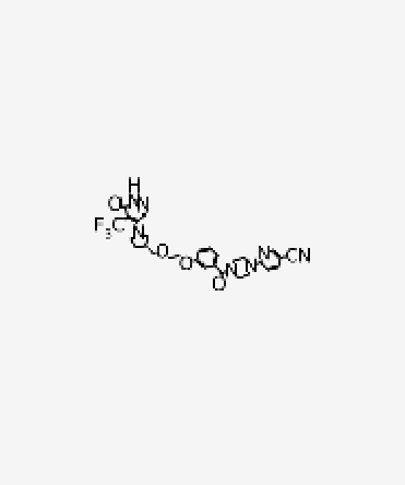 N#Cc1ccc(N2CCN(C(=O)c3cccc(OCCOC[C@H]4CCN(c5cn[nH]c(=O)c5C(F)(F)F)C4)c3)CC2)nc1